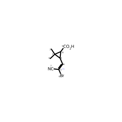 CC1(C)C(/C=C(/Br)C#N)C1C(=O)O